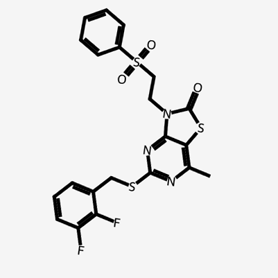 Cc1nc(SCc2cccc(F)c2F)nc2c1sc(=O)n2CCS(=O)(=O)c1ccccc1